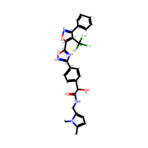 Cc1ccc(CNC(=O)C(O)c2ccc(-c3noc(-c4onc(-c5ccccc5)c4C(F)(F)F)n3)cc2)n1C